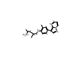 Cc1cc(-c2cnn3cccnc23)ccc1OCC(C)CC(C)N